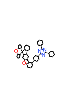 c1ccc(-c2nc(-c3ccccc3)nc(-c3ccc(-c4cccc5oc6cc7c(cc6c45)-c4ccccc4C74c5ccccc5Oc5ccccc54)cc3)n2)cc1